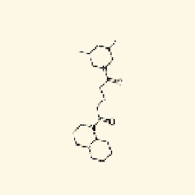 CC1CC(C)CN(C(=O)CCCC(=O)N2CCCC3CCCCC32)C1